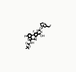 CC(C)(C)OC(=O)Nc1sc2c(F)ccc(-c3c(Cl)cc4c(O)nc(OC[C@@]56CCCN5C/C(=C\F)C6)nc4c3F)c2c1C#N